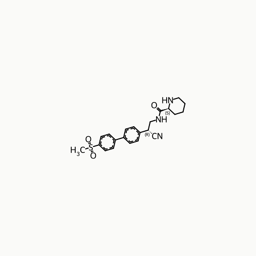 CS(=O)(=O)c1ccc(-c2ccc([C@@H](C#N)CNC(=O)[C@@H]3CCCCN3)cc2)cc1